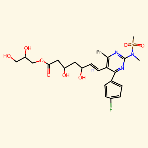 CC(C)c1nc(N(C)S(C)(=O)=O)nc(-c2ccc(F)cc2)c1/C=C/C(O)CC(O)CC(=O)OCC(O)CO